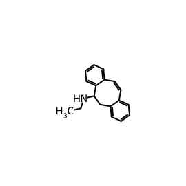 CCNC1Cc2ccccc2/C=C\c2ccccc21